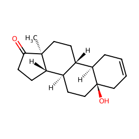 C[C@]12CC[C@H]3[C@@H](CC[C@@]4(O)CC=CC[C@H]34)[C@@H]1CCC2=O